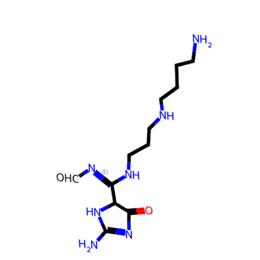 NCCCCNCCCN/C(=N/C=O)C1NC(N)=NC1=O